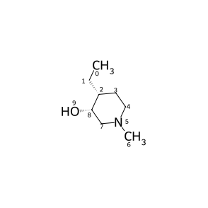 CC[C@@H]1CCN(C)C[C@@H]1O